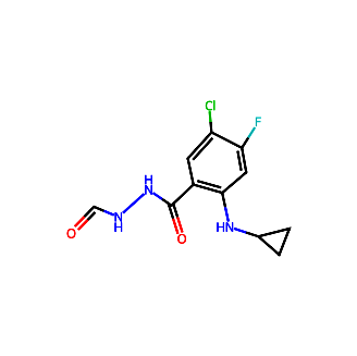 O=CNNC(=O)c1cc(Cl)c(F)cc1NC1CC1